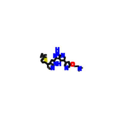 CC(=O)c1ccc(-c2ccnc3[nH]c(-c4n[nH]c5ncc(-c6cncc(OCCN(C)C)c6)cc45)cc23)s1